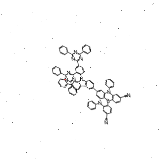 N#Cc1ccc2c(c1)N(c1ccccc1)c1cc(-c3ccc4c(c3)c3ccc(-c5ccccc5)cc3n4-c3ccc(-c4nc(-c5ccccc5)nc(-c5ccccc5)n4)cc3-c3nc(-c4ccccc4)nc(-c4ccccc4)n3)cc3c1B2c1ccc(C#N)cc1N3c1ccccc1